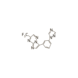 FC(F)(F)c1cnn2c(-c3cccc(-n4cncn4)c3)cnc2n1